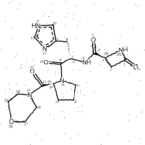 O=C1C[C@@H](C(=O)N[C@@H](Cc2c[nH]cn2)C(=O)N2CCC[C@H]2C(=O)N2CCOCC2)N1